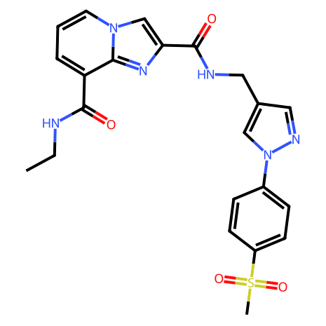 CCNC(=O)c1cccn2cc(C(=O)NCc3cnn(-c4ccc(S(C)(=O)=O)cc4)c3)nc12